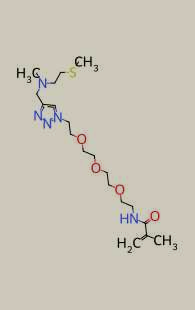 C=C(C)C(=O)NCCOCCOCCOCCn1cc(CN(C)CCSC)nn1